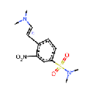 CN(C)/C=C/c1ccc(S(=O)(=O)N(C)C)cc1[N+](=O)[O-]